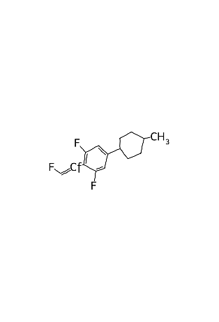 CC1CCC(c2cc(F)[c]([Cf]=[CH]F)c(F)c2)CC1